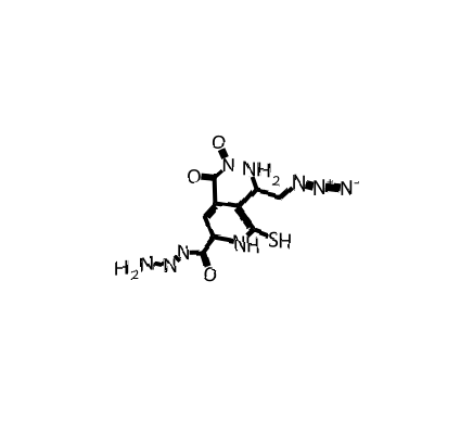 [N-]=[N+]=NCC(N)C1=C(S)NC(C(=O)N=NN)C=C1C(=O)N=O